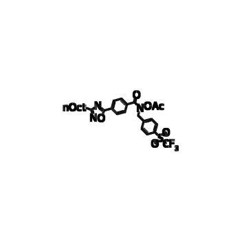 CCCCCCCCc1noc(-c2ccc(C(=O)N(Cc3ccc(S(=O)(=O)C(F)(F)F)cc3)OC(C)=O)cc2)n1